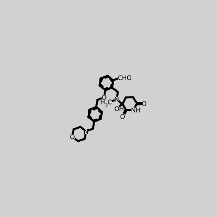 CN(Cc1c(C=O)cccc1OCc1ccc(CN2CCOCC2)cc1)C1(O)CCC(=O)NC1=O